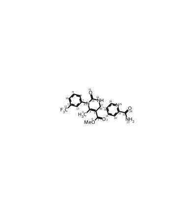 COC(=O)C1=C(C)N(c2cccc(C(F)(F)F)c2)C(=O)N[C@@H]1c1ccc(C(N)=O)nc1